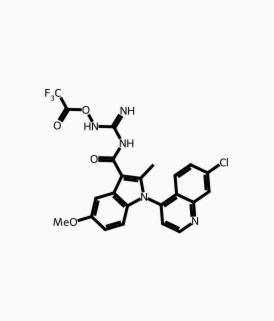 COc1ccc2c(c1)c(C(=O)NC(=N)NOC(=O)C(F)(F)F)c(C)n2-c1ccnc2cc(Cl)ccc12